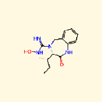 CC[C@H](C)[C@H]1C(=O)Nc2ccccc2CN1C(=N)NO